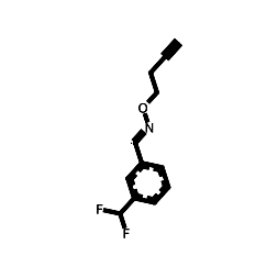 C#CCCON=[C]c1cccc(C(F)F)c1